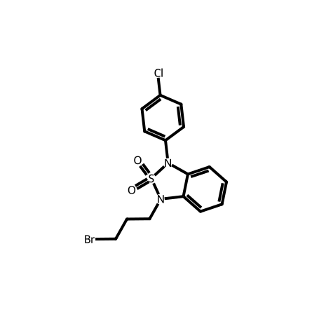 O=S1(=O)N(CCCBr)c2ccccc2N1c1ccc(Cl)cc1